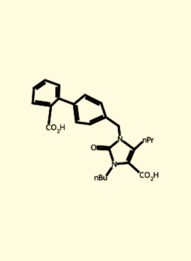 CCCCn1c(C(=O)O)c(CCC)n(Cc2ccc(-c3ccccc3C(=O)O)cc2)c1=O